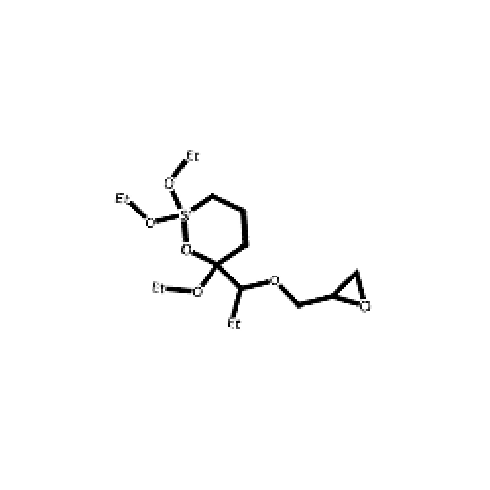 CCOC1(C(CC)OCC2CO2)CCC[Si](OCC)(OCC)O1